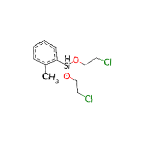 Cc1ccccc1[SiH](OCCCl)OCCCl